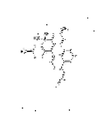 C=c1ccc2c(c1)[Si](C)(C)c1cc(C)ccc1C=2c1ccc(N=[N+]=[N-])c2ccccc12